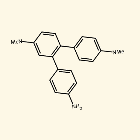 CNc1ccc(-c2ccc(NC)cc2-c2ccc(N)cc2)cc1